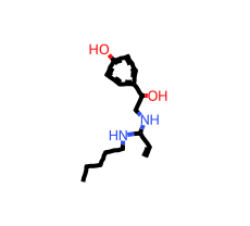 C=CC(NCCCCC)NCC(O)c1ccc(O)cc1